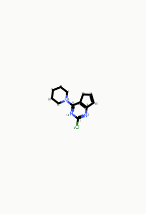 Clc1nc2c(c(N3CCCCC3)n1)CC=C2